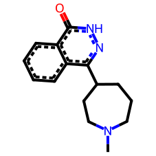 CN1CCCC(c2n[nH]c(=O)c3ccccc23)CC1